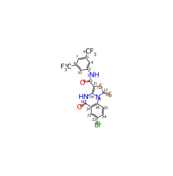 O=C(Nc1cc(C(F)(F)F)cc(C(F)(F)F)c1)c1sc(=S)n2c1[nH]c(=O)c1cc(Br)ccc12